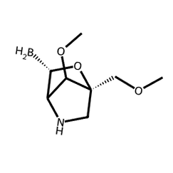 B[C@@H]1O[C@@]2(COC)CNC1C2OC